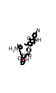 CCc1cc2c(cc1N1CCN(C(=O)CCCN3CC4CCC(C3)C4NC(=O)[C@@H](N)CCCc3cccnc3N)CC1)C(C)(C)c1[nH]c3cc(C#N)ccc3c1C2=O